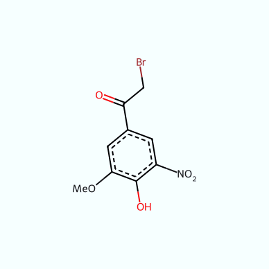 COc1cc(C(=O)CBr)cc([N+](=O)[O-])c1O